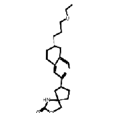 C=C(/C=C1/CC[C@H](CCCOCC)C/C1=C/C)[C@H]1CC[C@]2(COC(=O)N2)C1